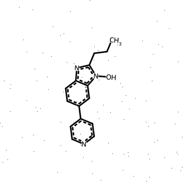 CCCc1nc2ccc(-c3ccncc3)cc2n1O